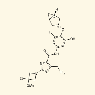 CCC1(OC)CN(c2nc(C(=O)Nc3cc(O)c(O[C@@H]4CC5C[C@@H]5C4)c(F)c3)c(CC(F)(F)F)o2)C1